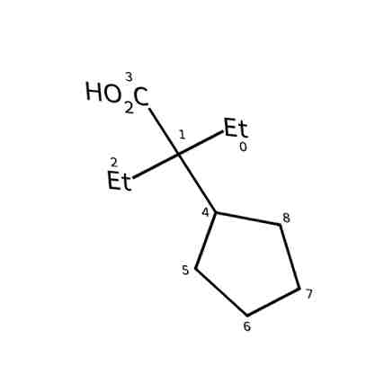 CCC(CC)(C(=O)O)C1CCCC1